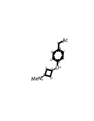 CN[C@H]1C[C@@H](Oc2ccc(CC(C)=O)cc2)C1